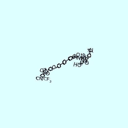 Cc1ncsc1-c1ccc(CNC(=O)[C@@H]2C[C@@H](O)CN2C(=O)[C@@H](NC(=O)COc2ccc(-c3ccc(-c4ccc(COc5ccc(N6C(=O)N(c7ccc(C#N)c(C(F)(F)F)c7)C(=O)C6(C)C)cc5)cc4)cc3)cc2)C(C)(C)C)cc1